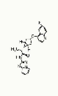 CC(C(=O)Nc1nc2ccccn2n1)[C@@H]1[C@@H]2C[C@@H](Oc3ccnc4ccc(F)cc34)C[C@@H]21